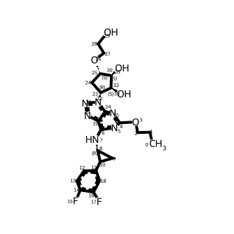 CCCOc1nc(N[C@@H]2CC2c2ccc(F)c(F)c2)c2nnn([C@@H]3C[C@H](OCCO)[C@@H](O)[C@H]3O)c2n1